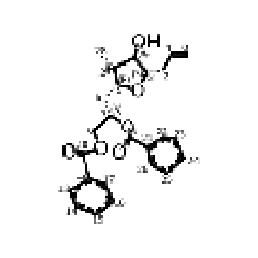 C=CC[C@@H]1O[C@H](C[C@@H](COC(=O)c2ccccc2)OC(=O)c2ccccc2)[C@H](C)C1O